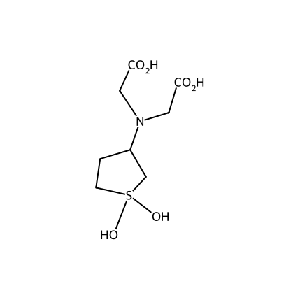 O=C(O)CN(CC(=O)O)C1CCS(O)(O)C1